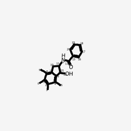 Cc1c(C)c(C)c2c(c1C)CC(NC(=O)c1ccccc1)C2O